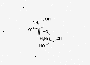 C=C(CCO)C(N)=O.NC(CO)(CO)CO